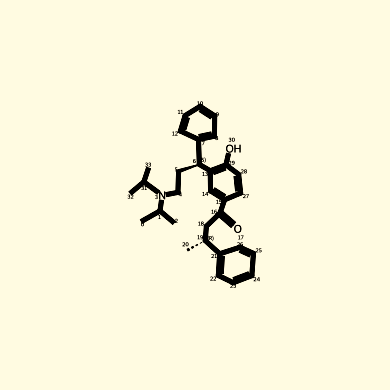 CC(C)N(CC[C@@H](c1ccccc1)c1cc(C(=O)C[C@@H](C)c2ccccc2)ccc1O)C(C)C